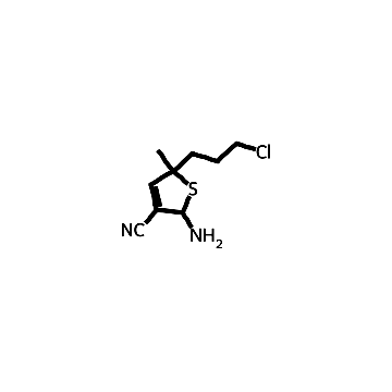 CC1(CCCCl)C=C(C#N)C(N)S1